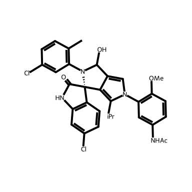 COc1ccc(NC(C)=O)cc1-n1cc2c(c1C(C)C)[C@@]1(C(=O)Nc3cc(Cl)ccc31)N(c1cc(Cl)ccc1C)C2O